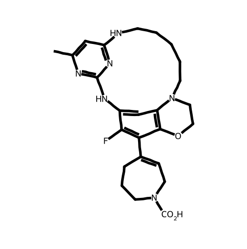 Cc1cc2nc(n1)Nc1cc3c(c(C4=CCN(C(=O)O)CCC4)c1F)OCCN3CCCCCN2